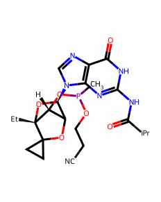 CC[C@]12O[C@@H](n3cnc4c(=O)[nH]c(NC(=O)C(C)C)nc43)C(OC13CC3)[C@H]2OP(C)OCCC#N